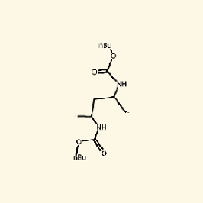 [CH2]C(CC([CH2])NC(=O)OCCCC)NC(=O)OCCCC